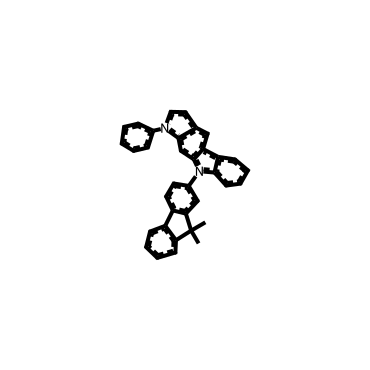 CC1(C)c2ccccc2-c2ccc(-n3c4ccccc4c4cc5ccn(-c6ccccc6)c5cc43)cc21